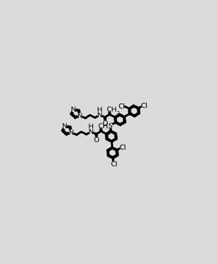 C=C(C(=O)NCCCn1ccnc1)c1cc(-c2ccc(Cl)cc2Cl)ccc1Sc1ccc(-c2ccc(Cl)cc2Cl)cc1C(=C)C(=O)NCCCn1ccnc1